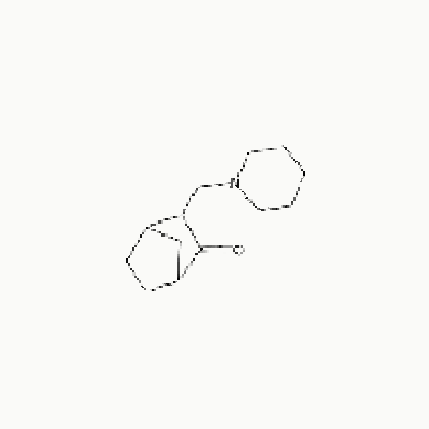 O=C1C2CCC(C2)C1CN1CCCCC1